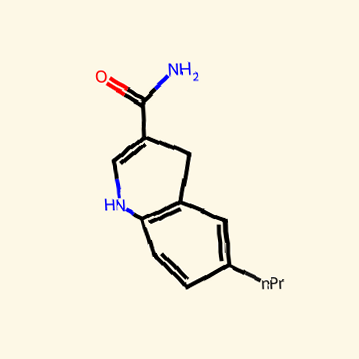 CCCc1ccc2c(c1)CC(C(N)=O)=CN2